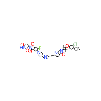 CC1(C)[C@H](Oc2ccc(C#N)c(Cl)c2)C(C)(C)[C@H]1N1Cc2nc(C#CC3CN(CC4CCN(c5cc6c(cc5F)C(=O)N(C5CCC(=O)NC5=O)C6=O)CC4)C3)ccc2C1=O